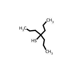 CCCC(S)(CCC)CCC